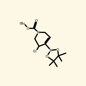 CCC1CN(C(=O)OC(C)(C)C)CC=C1B1OC(C)(C)C(C)(C)O1